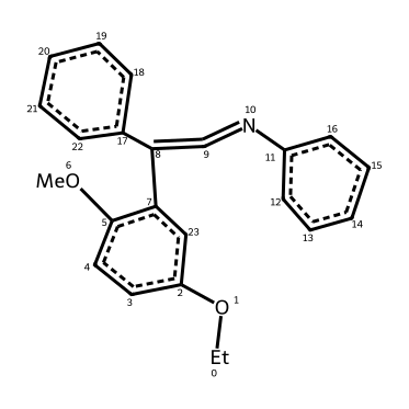 CCOc1ccc(OC)c(C(=C=Nc2ccccc2)c2ccccc2)c1